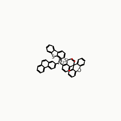 c1ccc2c(c1)Oc1ccccc1C21c2ccccc2[SiH2]c2c(N(c3ccc4c(ccc5ccccc54)c3)c3cccc4c3sc3ccccc34)cccc21